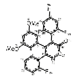 COc1cc(OC)cc(-c2c(-c3ccccc3F)noc(=O)c2-c2c(F)cc(F)cc2F)c1